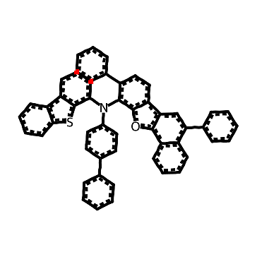 c1ccc(-c2ccc(N(c3c(-c4ccccc4)ccc4c3oc3c5ccccc5c(-c5ccccc5)cc43)c3cccc4c3sc3ccccc34)cc2)cc1